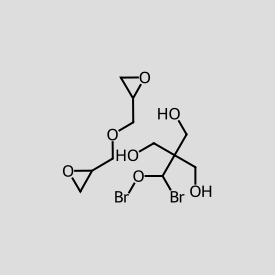 C(OCC1CO1)C1CO1.OCC(CO)(CO)C(Br)OBr